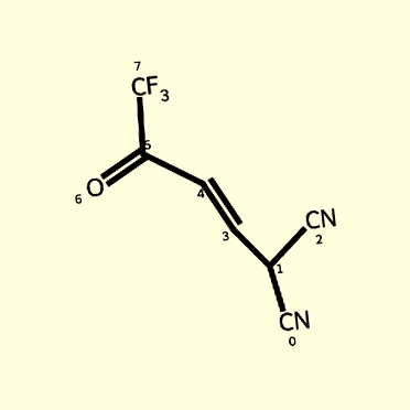 N#CC(C#N)/C=C/C(=O)C(F)(F)F